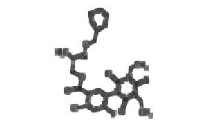 CCn1c(=S)n(CC)c(=O)n(-c2cc(C(=O)OCC(C)=NOCc3ccccc3)c(Cl)cc2F)c1=O